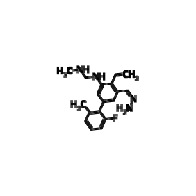 C=Cc1c(/C=N\N)cc(-c2c(C)cccc2F)cc1NCNC